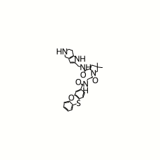 CC1(C)CC(C(=O)NCc2cc3c([nH]2)CCNC3)N(C(=O)CNC(=O)c2ccc3c(c2)Oc2ccccc2S3)C1